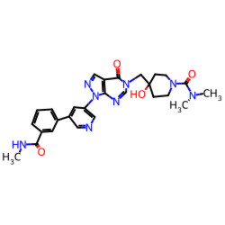 CNC(=O)c1cccc(-c2cncc(-n3ncc4c(=O)n(CC5(O)CCN(C(=O)N(C)C)CC5)cnc43)c2)c1